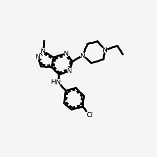 CCN1CCN(c2nc(Nc3ccc(Cl)cc3)c3cnn(C)c3n2)CC1